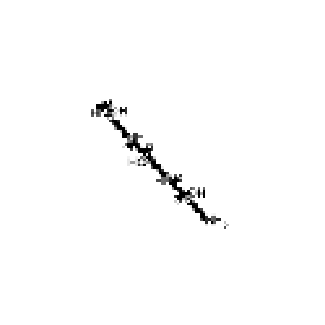 CC(=O)NN(O)CCCCCNC(=O)CCC(=O)N(O)CCCCCNC(=O)CCC(=O)N(O)CCCCCN